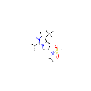 CC(C)C1=N[C@@H](C)C(C(C)(C)C)=C2C[C@H](N(C(C)C)S(C)(=O)=O)CN12